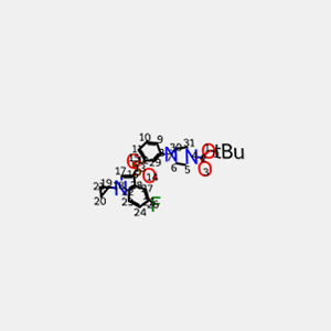 CC(C)(C)OC(=O)N1CCN(c2cccc(S(=O)(=O)c3cn(C4CC4)c4ccc(F)cc34)c2)CC1